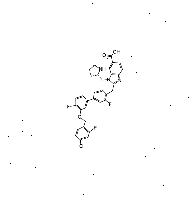 O=C(O)c1ccc2nc(Cc3ccc(-c4ccc(F)c(OCc5ccc(Cl)cc5F)c4)cc3F)n(CC3CCCN3)c2c1